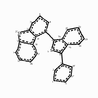 c1ccc(-c2sc(-c3cccc4sc5ccccc5c34)c3ccccc23)cc1